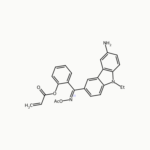 C=CC(=O)Oc1ccccc1/C(=N\OC(C)=O)c1ccc2c(c1)c1cc(N)ccc1n2CC